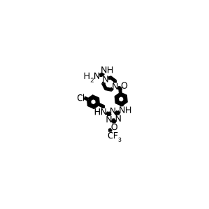 N=C(N)N1CCCN(C(=O)c2ccc(Nc3nc(NCc4ccc(Cl)cc4)nc(OCC(F)(F)F)n3)cc2)CC1